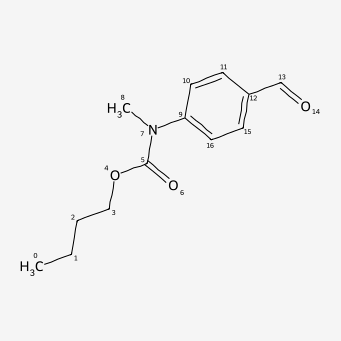 CCCCOC(=O)N(C)c1ccc(C=O)cc1